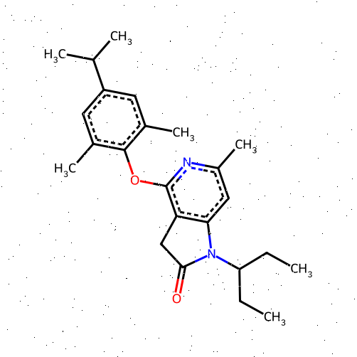 CCC(CC)N1C(=O)Cc2c1cc(C)nc2Oc1c(C)cc(C(C)C)cc1C